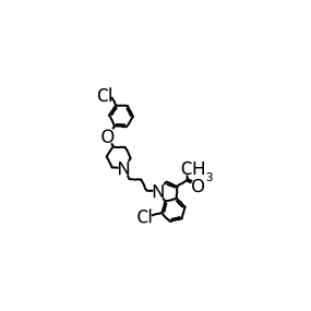 CC(=O)c1cn(CCCN2CCC(Oc3cccc(Cl)c3)CC2)c2c(Cl)cccc12